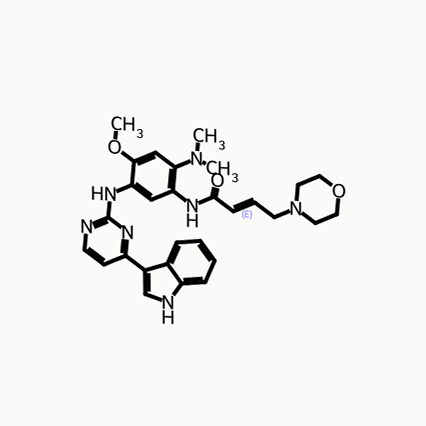 COc1cc(N(C)C)c(NC(=O)/C=C/CN2CCOCC2)cc1Nc1nccc(-c2c[nH]c3ccccc23)n1